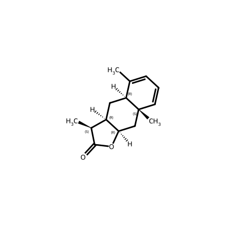 CC1=CC=C[C@]2(C)C[C@H]3OC(=O)[C@@H](C)[C@H]3C[C@@H]12